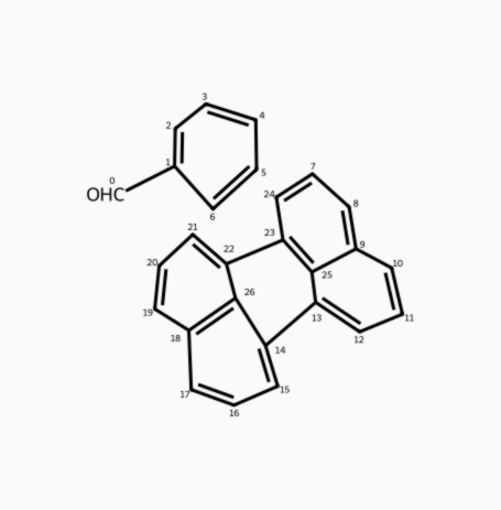 O=Cc1ccccc1.c1cc2cccc3c4cccc5cccc(c(c1)c23)c54